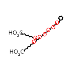 O=C(O)CCCCCCCOCC(COCCOCCOCCOCCOCc1ccccc1)OCCCCCCCC(=O)O